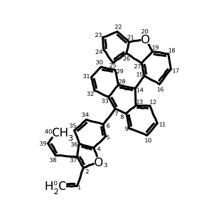 C=Cc1oc2cc(-c3c4ccccc4c(-c4cccc5oc6ccccc6c45)c4ccccc34)ccc2c1/C=C\C